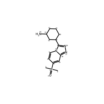 CP(C)(=O)c1ccn2c(C3CCCC(N)C3)nnc2c1